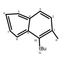 Cc1ccc2ccccc2c1C(C)(C)C